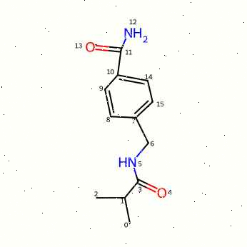 CC(C)C(=O)NCc1ccc(C(N)=O)cc1